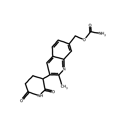 Cc1nc2cc(COC(N)=O)ccc2cc1C1CCC(=O)NC1=O